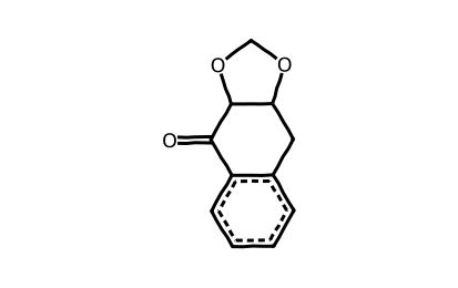 O=C1c2ccccc2CC2OCOC12